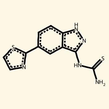 NC(=S)Nc1n[nH]c2ccc(-c3nccs3)cc12